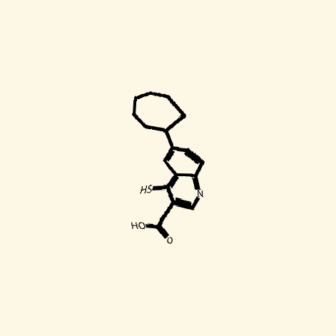 O=C(O)c1cnc2ccc(C3CCCCCC3)cc2c1S